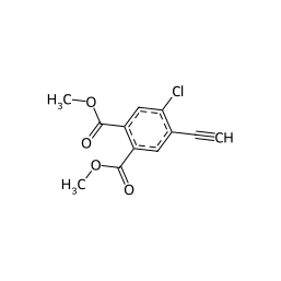 C#Cc1cc(C(=O)OC)c(C(=O)OC)cc1Cl